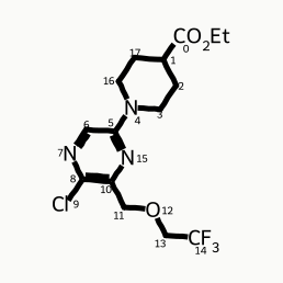 CCOC(=O)C1CCN(c2cnc(Cl)c(COCC(F)(F)F)n2)CC1